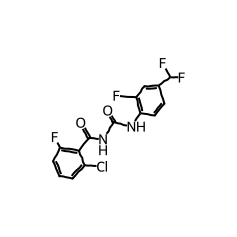 O=C(NC(=O)c1c(F)cccc1Cl)Nc1ccc(C(F)F)cc1F